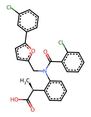 C[C@H](C(=O)O)c1ccccc1N(Cc1ccc(-c2cccc(Cl)c2)o1)C(=O)c1ccccc1Cl